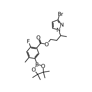 Cc1cc(F)c(C(=O)OCCC(C)n2ccc(Br)n2)cc1B1OC(C)(C)C(C)(C)O1